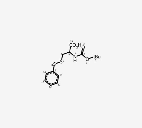 CC(C)(C)OC(=O)N[C@@H](CSSc1ccccc1)C(=O)O